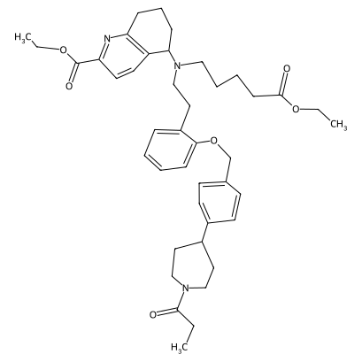 CCOC(=O)CCCCN(CCc1ccccc1OCc1ccc(C2CCN(C(=O)CC)CC2)cc1)C1CCCc2nc(C(=O)OCC)ccc21